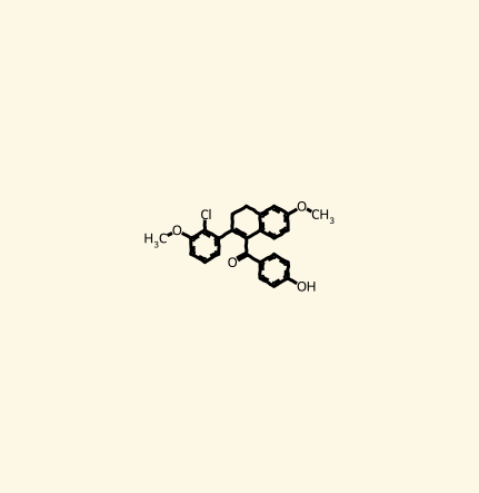 COc1ccc2c(c1)CCC(c1cccc(OC)c1Cl)=C2C(=O)c1ccc(O)cc1